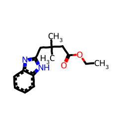 CCOC(=O)CC(C)(C)Cc1nc2ccccc2[nH]1